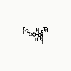 N#Cc1c(SCc2ncccn2)nc(N2CC(F)C2)c(C#N)c1-c1ccc(OCCOC(F)F)cc1